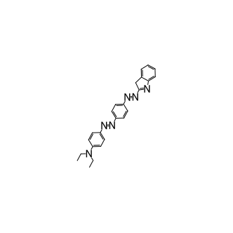 CCN(CC)c1ccc(N=Nc2ccc(N=NC3=Nc4ccccc4C3)cc2)cc1